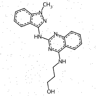 Cn1nc(Nc2nc(NCCCO)c3ccccc3n2)c2ccccc21